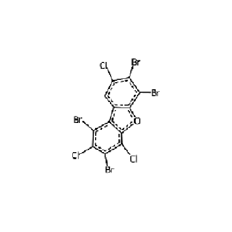 Clc1cc2c(oc3c(Cl)c(Br)c(Cl)c(Br)c32)c(Br)c1Br